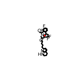 OCC(c1cc(F)ccc1C1CC(F)(F)CO1)N1CC[C@@H](OCCCCc2ccc3c(n2)NCCC3)C1